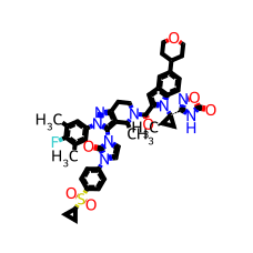 Cc1cc(-n2nc3c(c2-n2ccn(-c4ccc(S(=O)(=O)C5CC5)cc4)c2=O)C(C)N(C(=O)c2cc4cc(C5CCOCC5)ccc4n2[C@@]2(c4noc(=O)[nH]4)C[C@@H]2C)CC3)cc(C)c1F